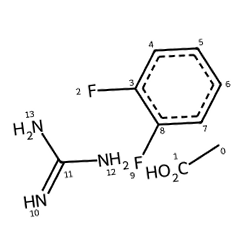 CC(=O)O.Fc1ccccc1F.N=C(N)N